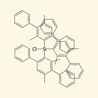 Cc1cc(-c2ccccc2)c([Si](Cl)(c2c(-c3ccccc3)cc(C)c(-c3ccccc3)c2C)c2c(-c3ccccc3)cc(C)c(-c3ccccc3)c2C)c(C)c1-c1ccccc1